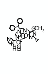 COc1nc(C2CC2)nc(OCCF)c1CN1CC(C(c2ccccc2)c2ccccc2)N2CCN(C(=O)c3cnccn3)C[C@H]2C1.Cl.Cl